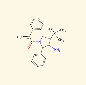 C[C@H](C(=O)N1CC(C(C)(C)C)C(N)C1c1ccccc1)c1ccccc1